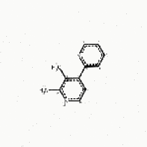 Cc1c(-c2ccccn2)ccnc1N